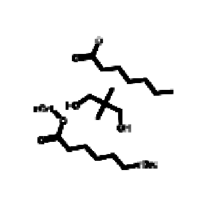 CC(C)(CO)CO.CCCCCCC(=O)O.CCCCCCCCCCCCCCCC(=O)OCCCCCCCC